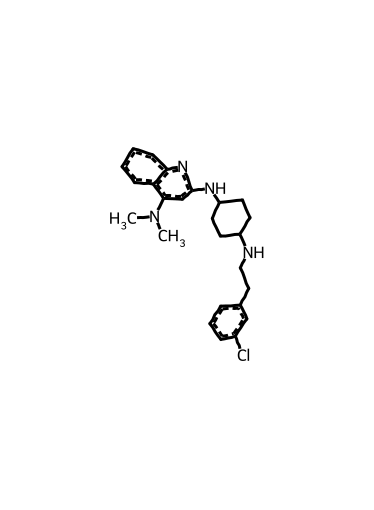 CN(C)c1cc(NC2CCC(NCCc3cccc(Cl)c3)CC2)nc2ccccc12